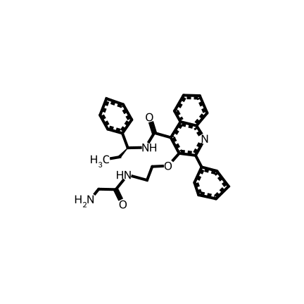 CC[C@H](NC(=O)c1c(OCCNC(=O)CN)c(-c2ccccc2)nc2ccccc12)c1ccccc1